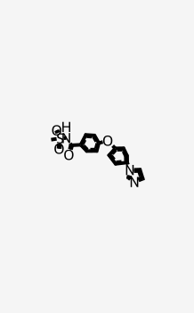 CS(=O)(=O)NC(=O)c1ccc(Oc2ccc(-n3ccnc3)cc2)cc1